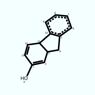 OC1=CC2Cc3ccccc3C2C=C1